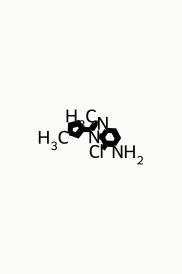 Cc1nc2ccc(N)c(Cl)c2nc1C1=CC(C)C=C1